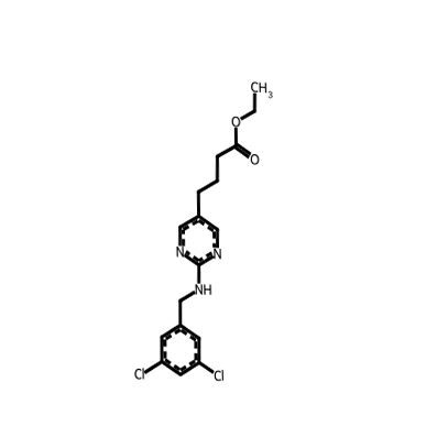 CCOC(=O)CCCc1cnc(NCc2cc(Cl)cc(Cl)c2)nc1